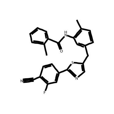 Cc1ccc(Cc2cnc(-c3ccc(C#N)c(F)c3)s2)cc1NC(=O)c1ccccc1C